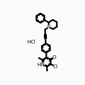 Cc1[nH]c(C)c(-c2ccc(C#CCN3CCCCC3c3ccccc3)cc2)c(=O)c1Cl.Cl